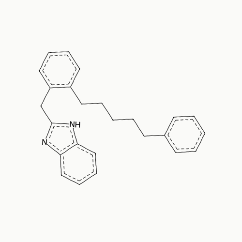 c1ccc(CCCCCc2ccccc2Cc2nc3ccccc3[nH]2)cc1